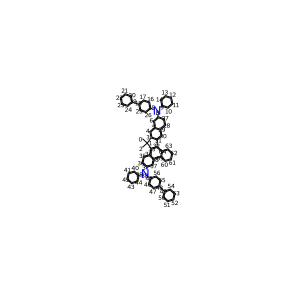 CC1(C)c2cc3cc(N(c4ccccc4)c4ccc(-c5ccccc5)cc4)ccc3cc2-c2c1c1ccc(N(c3ccccc3)c3ccc(-c4ccccc4)cc3)cc1c1ccccc21